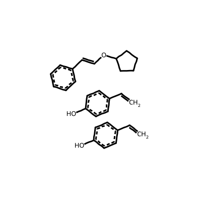 C(=Cc1ccccc1)OC1CCCC1.C=Cc1ccc(O)cc1.C=Cc1ccc(O)cc1